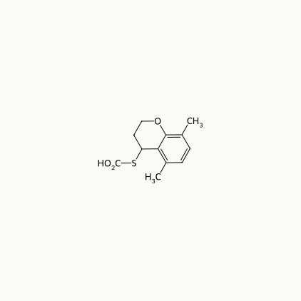 Cc1ccc(C)c2c1OCCC2SC(=O)O